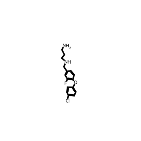 NCCCNCc1ccc(Oc2ccc(Cl)cc2)c(F)c1